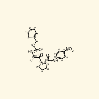 C[C@H](NC(=O)OCc1ccccc1)C(=O)N1CCC[C@H]1C(=O)Nc1ccc([N+](=O)[O-])cc1